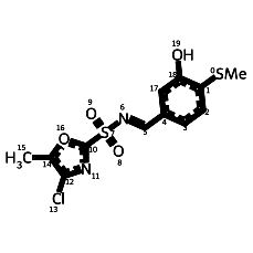 CSc1ccc(C=NS(=O)(=O)c2nc(Cl)c(C)o2)cc1O